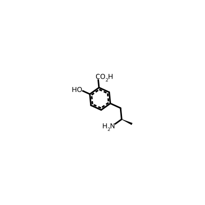 C[C@@H](N)Cc1ccc(O)c(C(=O)O)c1